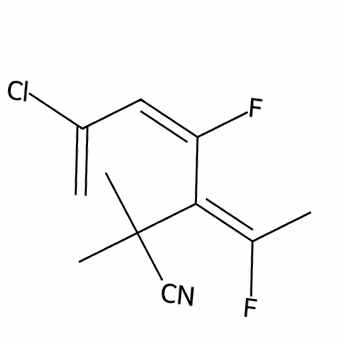 C=C(Cl)/C=C(F)\C(=C(/C)F)C(C)(C)C#N